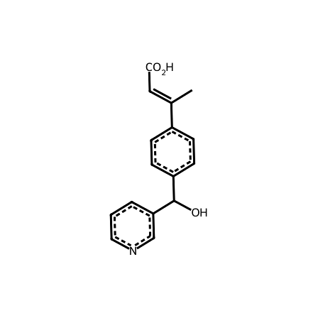 CC(=CC(=O)O)c1ccc(C(O)c2cccnc2)cc1